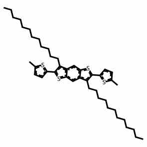 CCCCCCCCCCCCc1c(-c2ccc(C)s2)sc2cc3c(CCCCCCCCCCCC)c(-c4ccc(C)s4)sc3cc12